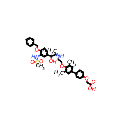 Cc1cc(-c2ccc(OCC(=O)O)cc2)cc(C)c1OCCN[C@@H](C)[C@@H](O)c1ccc(OCc2ccccc2)c(NS(C)(=O)=O)c1